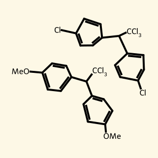 COc1ccc(C(c2ccc(OC)cc2)C(Cl)(Cl)Cl)cc1.Clc1ccc(C(c2ccc(Cl)cc2)C(Cl)(Cl)Cl)cc1